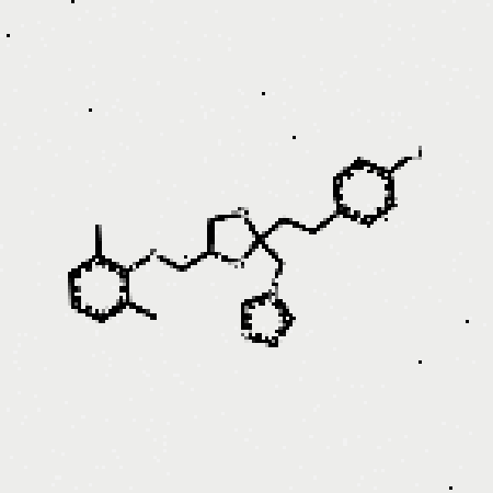 Cc1cccc(C)c1SCC1COC(CCc2ccc(Cl)cc2)(Cn2ccnc2)O1